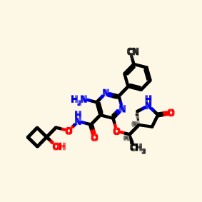 C[C@@H](Oc1nc(-c2cccc(C#N)c2)nc(N)c1C(=O)NOCC1(O)CCC1)[C@@H]1CNC(=O)C1